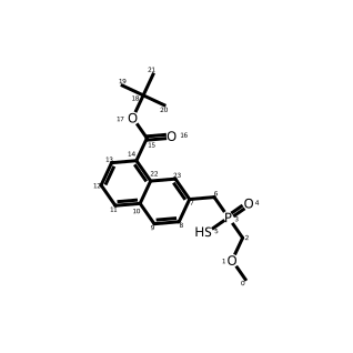 COCP(=O)(S)Cc1ccc2cccc(C(=O)OC(C)(C)C)c2c1